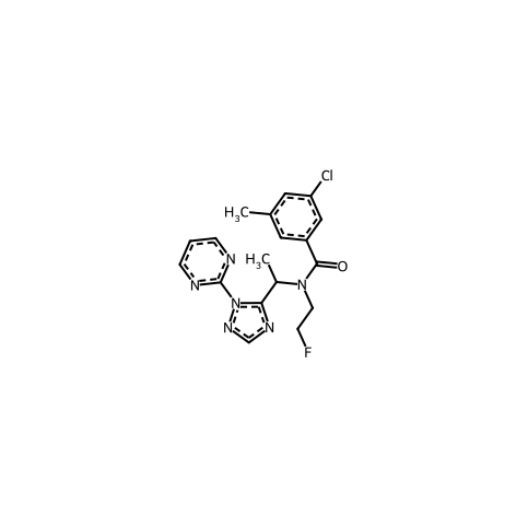 Cc1cc(Cl)cc(C(=O)N(CCF)C(C)c2ncnn2-c2ncccn2)c1